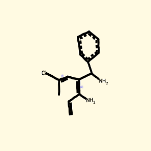 C=C/C(N)=C(\C=C(/C)Cl)C(N)c1ccccc1